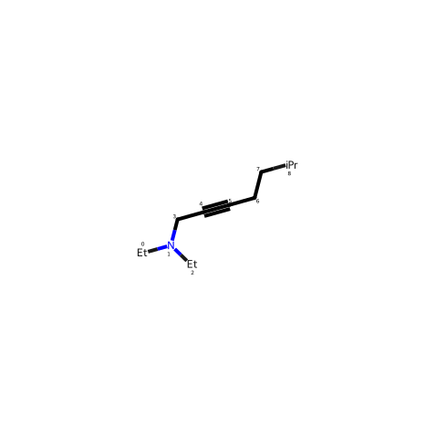 CCN(CC)CC#CCCC(C)C